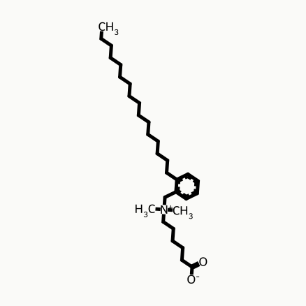 CCCCCCCCCCCCCCCCc1ccccc1C[N+](C)(C)CCCCCC(=O)[O-]